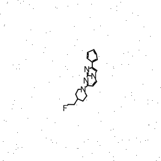 FCCC1CCN(c2ccn3cc(-c4ccccc4)nc3n2)CC1